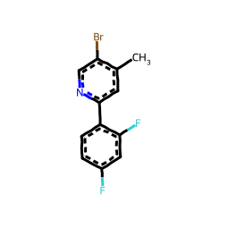 Cc1cc(-c2ccc(F)cc2F)ncc1Br